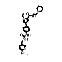 CCn1cc(-c2ccc(NC(=O)NCc3ccc(N)nc3)cc2)cc1C(=O)NCCN1CCCCC1